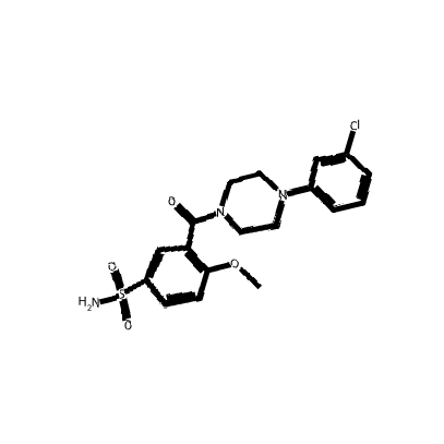 COc1ccc(S(N)(=O)=O)cc1C(=O)N1CCN(c2cccc(Cl)c2)CC1